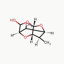 C[C@@H]1[C@@H]2O[C@H]3OC(O)[C@H](O[C@H]31)[C@H]2C